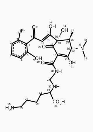 CC(C)c1cccc(O)c1C(=O)/C=C(\O)[C@]1(O)C(=O)C(C(=O)NCNC(CCCCN)C(=O)O)=C(O)[C@@H](N(C)C)[C@@H]1C